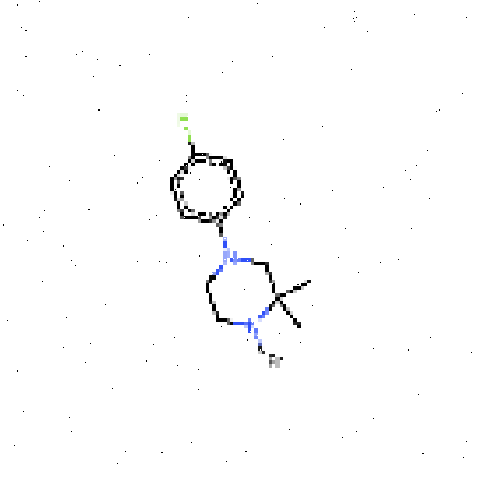 CC(C)N1CCN(c2ccc(F)cc2)CC1(C)C